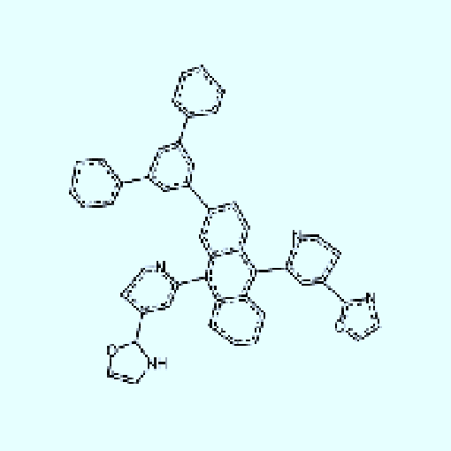 C1=COC(c2ccnc(-c3c4ccccc4c(-c4cc(-c5ncco5)ccn4)c4ccc(-c5cc(-c6ccccc6)cc(-c6ccccc6)c5)cc34)c2)N1